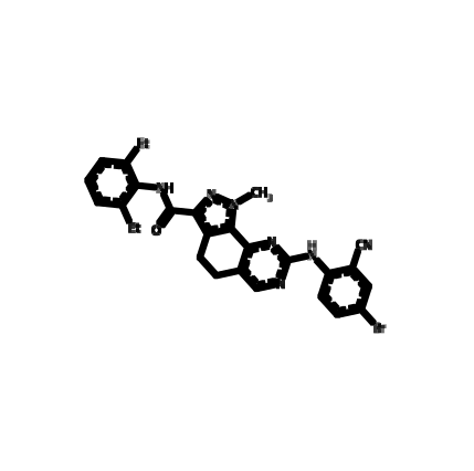 CCc1cccc(CC)c1NC(=O)c1nn(C)c2c1CCc1cnc(Nc3ccc(Br)cc3C#N)nc1-2